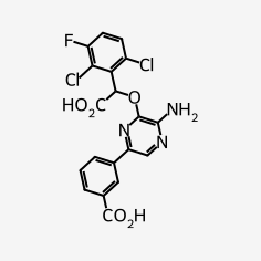 Nc1ncc(-c2cccc(C(=O)O)c2)nc1OC(C(=O)O)c1c(Cl)ccc(F)c1Cl